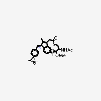 COC(=O)C(CSC(=O)CC1=C(C)/C(=C/c2ccc([S+](C)[O-])cc2)c2ccc(F)cc21)NC(C)=O